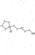 [O-][N+]1(CCSCCO)CCCC1